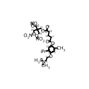 Cc1cc(OCCN(C)C)c(C(C)C)cc1OC(=O)CCCC(=O)OCC(CO[N+](=O)[O-])(CO[N+](=O)[O-])CO[N+](=O)[O-]